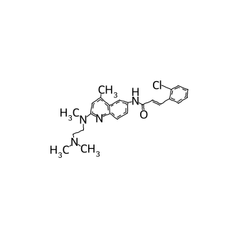 Cc1cc(N(C)CCN(C)C)nc2ccc(NC(=O)/C=C/c3ccccc3Cl)cc12